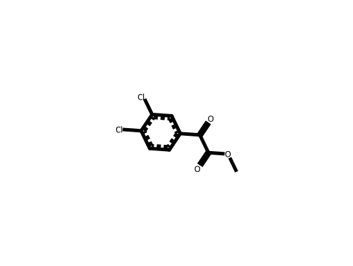 COC(=O)C(=O)c1ccc(Cl)c(Cl)c1